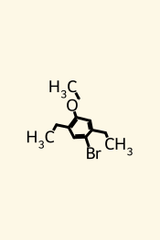 CCOc1cc(CC)c(Br)cc1CC